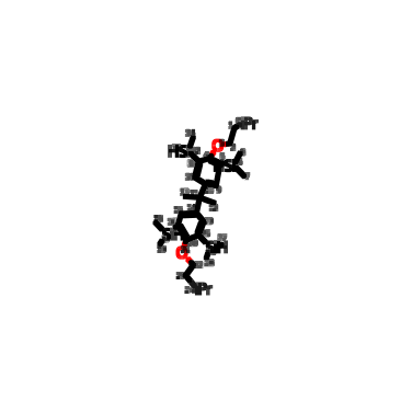 CC(C)CCOc1c([SiH](C)C)cc(C(C)(C)c2cc([SiH](C)C)c(OCCC(C)C)c([SiH](C)C)c2)cc1[SiH](C)C